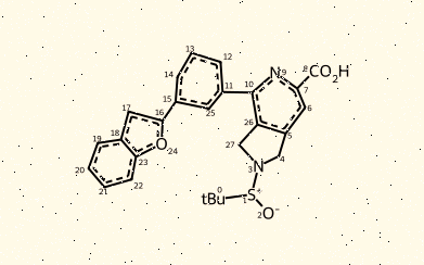 CC(C)(C)[S+]([O-])N1Cc2cc(C(=O)O)nc(-c3cccc(-c4cc5ccccc5o4)c3)c2C1